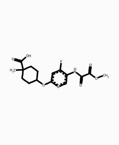 COC(=O)C(=O)Nc1cnc(OC2CCC(C)(C(=O)O)CC2)cc1F